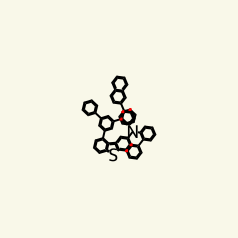 c1ccc(-c2cc(-c3ccccc3)cc(-c3cccc4sc5ccc(N(c6ccc(-c7ccc8ccccc8c7)cc6)c6ccccc6-c6ccccc6)cc5c34)c2)cc1